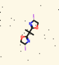 CC(C)(C1=N[C@H](I)CO1)C1=N[C@H](I)CO1